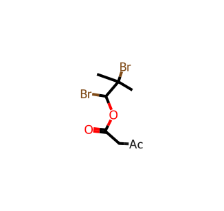 CC(=O)CC(=O)OC(Br)C(C)(C)Br